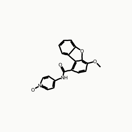 COc1ccc(C(=O)Nc2cc[n+]([O-])cc2)c2c1oc1ccccc12